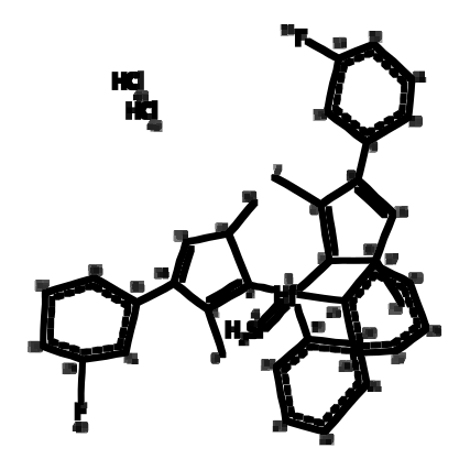 CC1=[C]([Hf](=[SiH2])([C]2=C(C)C(c3cccc(F)c3)=CC2C)([c]2ccccc2)[c]2ccccc2)C(C)C=C1c1cccc(F)c1.Cl.Cl